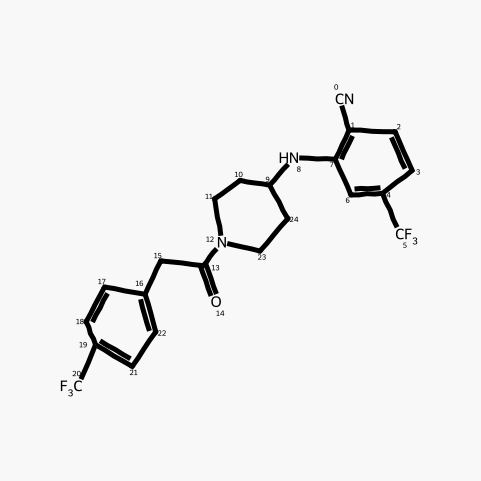 N#Cc1ccc(C(F)(F)F)cc1NC1CCN(C(=O)Cc2ccc(C(F)(F)F)cc2)CC1